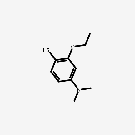 CCOc1cc(N(C)C)ccc1S